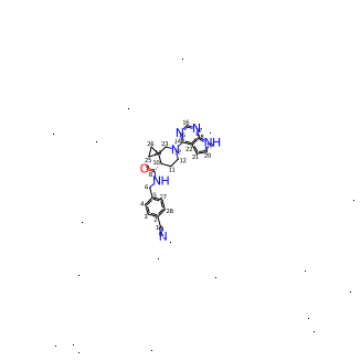 N#Cc1ccc(CNC(=O)[C@H]2CCN(c3ncnc4[nH]ccc34)CC23CC3)cc1